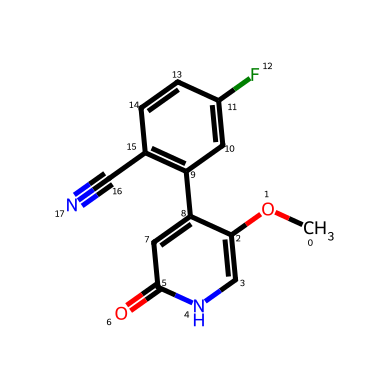 COc1c[nH]c(=O)cc1-c1cc(F)ccc1C#N